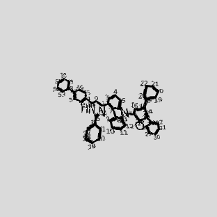 C1=C(c2cccc3c2c2ccccc2n3-c2cc(-c3ccccc3)cc3c2oc2ccccc23)N=C(c2ccccc2)NC1c1ccc(-c2ccccc2)cc1